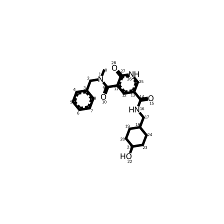 CN(Cc1ccccc1)C(=O)c1cc(C(=O)NCC2CCC(O)CC2)c[nH]c1=O